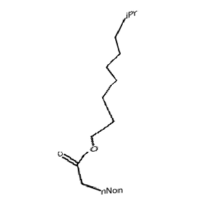 CCCCCCCCCCC(=O)OCCCCCCCC(C)C